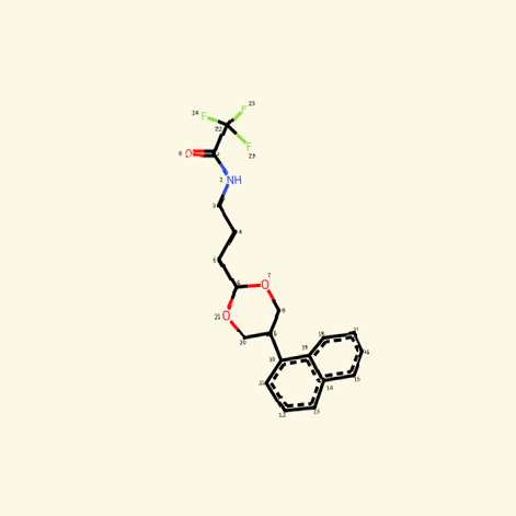 O=C(NCCCC1OCC(c2cccc3ccccc23)CO1)C(F)(F)F